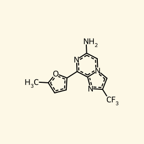 Cc1ccc(-c2nc(N)cn3cc(C(F)(F)F)nc23)o1